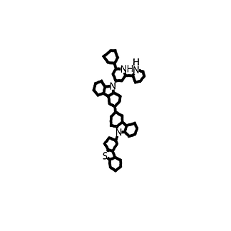 C1CCC(C2CC(N3C4CCCCC4C4CC(C5CCC6C(C5)C5CCCCC5N6C5CCC6SC7CCCCC7C6C5)CCC43)CC(C3CCCCN3)N2)CC1